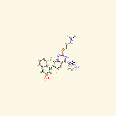 Cc1cc2c(N3CC4CCCC3CN4)nc(OCCCN(C)C)nc2c(F)c1-c1cc(O)cc2ccccc12